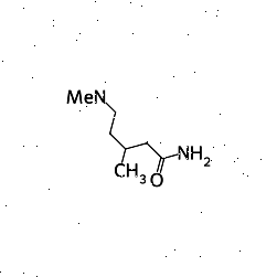 CNCCC(C)CC(N)=O